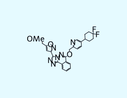 COCc1cc(-c2nnc3c4ccccc4c(OCc4ccc(C5CCC(F)(F)CC5)cn4)nn23)no1